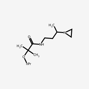 CCCOC(C)(C)C(=O)NCCC(C)N1CC1